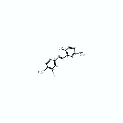 Cc1ccc(/N=C/c2cc([N+](=O)[O-])ccc2Cl)cc1F